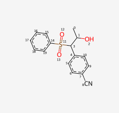 CC(O)C(c1ccc(C#N)cc1)S(=O)(=O)c1ccccc1